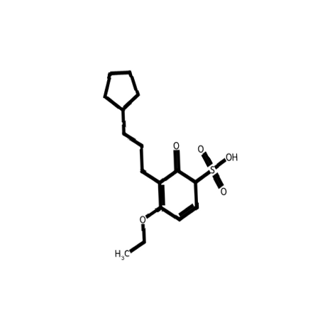 CCOC1=C(CCCC2CCCC2)C(=O)C(S(=O)(=O)O)C=C1